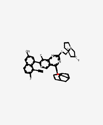 C#Cc1c(F)ccc2cc(O)cc(-c3ncc4c(N5C6CC7CC(C6)CC5C7)nc(OC[C@@]56CCCN5C[C@H](F)C6)nc4c3F)c12